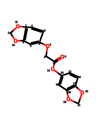 O=C(COc1ccc2c(c1)OCO2)Oc1ccc2c(c1)OCO2